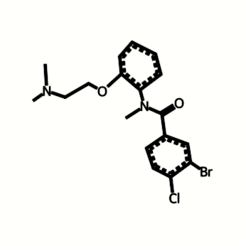 CN(C)CCOc1ccccc1N(C)C(=O)c1ccc(Cl)c(Br)c1